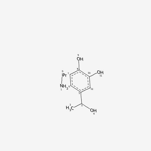 CC(C)N.CC(O)c1ccc(O)c(O)c1